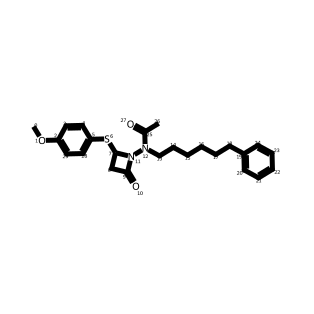 COc1ccc(SC2CC(=O)N2N(CCCCCCc2ccccc2)C(C)=O)cc1